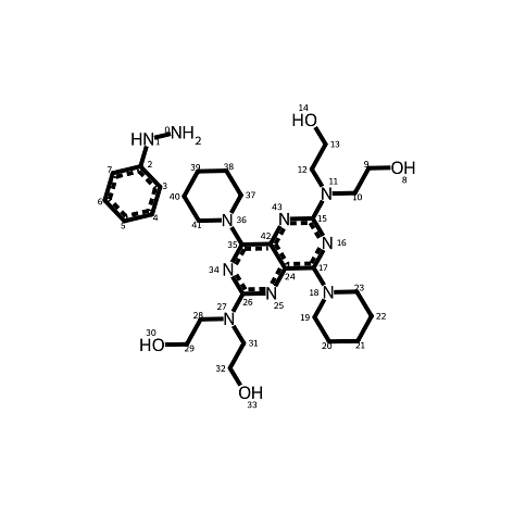 NNc1ccccc1.OCCN(CCO)c1nc(N2CCCCC2)c2nc(N(CCO)CCO)nc(N3CCCCC3)c2n1